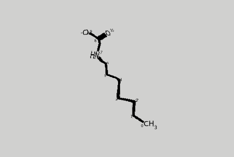 CCCCCCCNC([O])=O